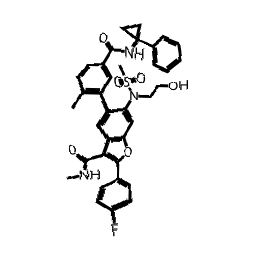 CNC(=O)c1c(-c2ccc(F)cc2)oc2cc(N(CCO)S(C)(=O)=O)c(-c3cc(C(=O)NC4(c5ccccc5)CC4)ccc3C)cc12